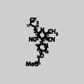 COCCOc1ccc(-c2c(C#N)c(C)nc(SCCC(F)(F)F)c2C#N)nc1